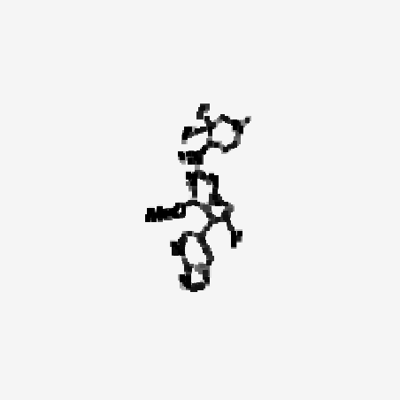 COc1nc(N[C@@H]2CCN(C)CC2(F)F)nn2cc(F)c(-c3cnc4nccn4c3)c12